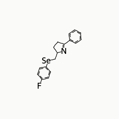 Fc1ccc([Se]CC2CCC(c3ccccc3)=N2)cc1